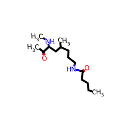 CCCCC(=O)NCCCC(C)CC(NC)C(C)=O